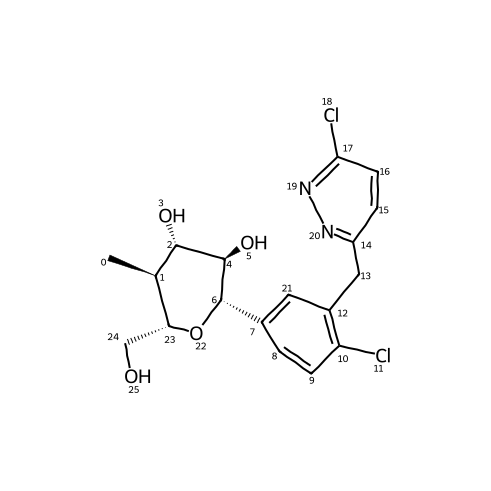 C[C@H]1[C@H](O)[C@@H](O)[C@H](c2ccc(Cl)c(Cc3ccc(Cl)nn3)c2)O[C@@H]1CO